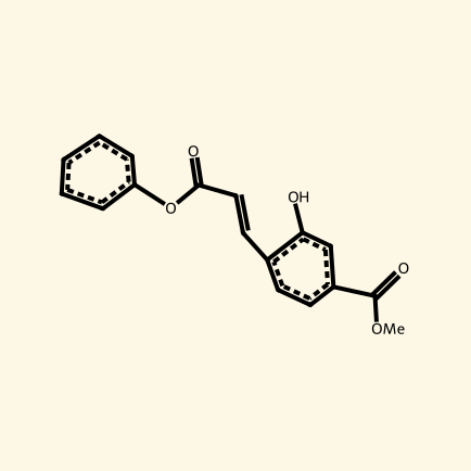 COC(=O)c1ccc(C=CC(=O)Oc2ccccc2)c(O)c1